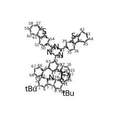 CC(C)(C)c1ccc2c(c1)c1cc(C(C)(C)C)cc(-c3ccccc3)c1n2-c1c(-c2ccccc2)cc(-c2nc(-c3ccc4c(c3)sc3ccccc34)nc(-c3ccc4c(c3)sc3ccccc34)n2)cc1-c1ccccc1